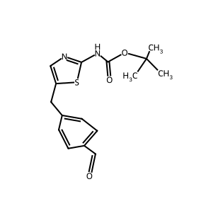 CC(C)(C)OC(=O)Nc1ncc(Cc2ccc(C=O)cc2)s1